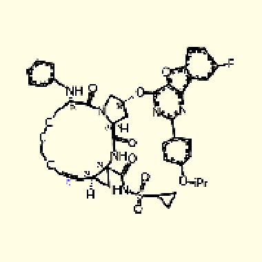 CC(C)Oc1ccc(-c2nc(O[C@@H]3C[C@H]4C(=O)N[C@]5(C(=O)NS(=O)(=O)C6CC6)C[C@H]5/C=C\CCCCC[C@H](Nc5ccccc5)C(=O)N4C3)c3oc4ccc(F)cc4c3n2)cc1